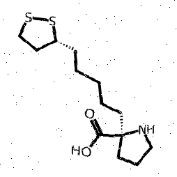 O=C(O)[C@]1(CCCCC[C@@H]2CCSS2)CCCN1